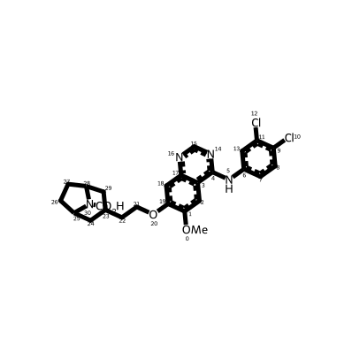 COc1cc2c(Nc3ccc(Cl)c(Cl)c3)ncnc2cc1OCCC1CC2CCC(C1)N2C(=O)O